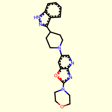 c1ccc2c(C3CCN(c4cnc5nc(N6CCOCC6)oc5c4)CC3)n[nH]c2c1